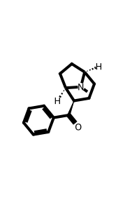 CN1[C@H]2CC[C@@H]1[C@H](C(=O)c1ccccc1)CC2